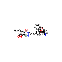 COc1cc(C(=O)NCCCCc2cccc(C3(C(=O)OC4CN5CCC4CC5)CCCCC3)c2)c(Cl)cc1CO